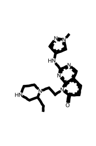 CCC1CNCCN1CCn1c(=O)ccc2cnc(Nc3cnn(C)c3)nc21